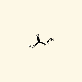 NC(=O)[N+]S